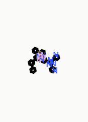 C1=CN2B3C=C(c4nc(-c5cccnc5)nc(-c5cccnc5)n4)C=CN3B3C=C(c4cccc(-c5ccccc5)c4)C=CN3B2C(c2ccccc2)=C1